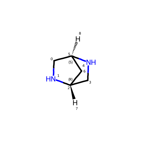 C1N[C@H]2CN[C@H]1C2